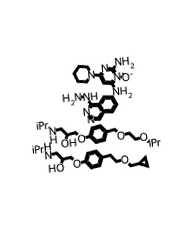 CC(C)NCC(O)COc1ccc(CCOCC2CC2)cc1.CC(C)NCC(O)COc1ccc(COCCOC(C)C)cc1.NNc1nncc2ccccc12.Nc1cc(N2CCCCC2)nc(N)[n+]1[O-]